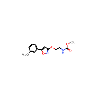 COc1cccc(-c2cc(OCCNC(=O)OC(C)(C)C)no2)c1